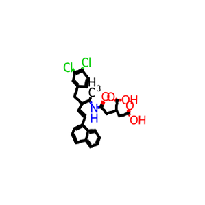 CC(NC(=O)CC(CC(=O)O)C(=O)O)C(/C=C/c1cccc2ccccc12)Cc1ccc(Cl)c(Cl)c1